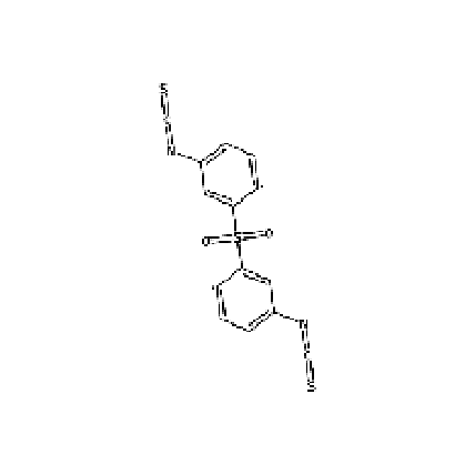 O=S(=O)(c1[c]ccc(N=C=S)c1)c1[c]ccc(N=C=S)c1